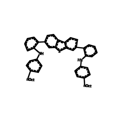 CCCCCCCCc1ccc(Nc2ccccc2-c2ccc3c(c2)sc2cc(-c4ccccc4Nc4ccc(CCCCCCCC)cc4)ccc23)cc1